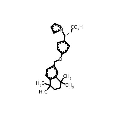 CC1(C)CCC(C)(C)c2cc(COc3ccc([C@@H](CC(=O)O)n4cccc4)cc3)ccc21